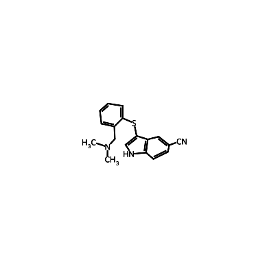 CN(C)Cc1ccccc1Sc1c[nH]c2ccc(C#N)cc12